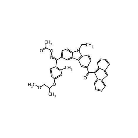 CCn1c2ccc(C(=O)c3c4ccccc4cc4ccccc34)cc2c2cc(/C(=N\OC(C)=O)c3ccc(OC(C)COC)cc3C)ccc21